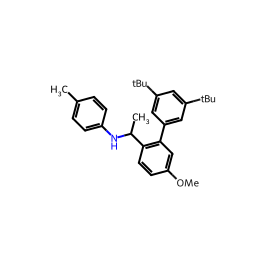 COc1ccc(C(C)Nc2ccc(C)cc2)c(-c2cc(C(C)(C)C)cc(C(C)(C)C)c2)c1